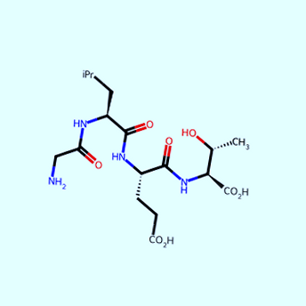 CC(C)C[C@H](NC(=O)CN)C(=O)N[C@@H](CCC(=O)O)C(=O)N[C@H](C(=O)O)[C@@H](C)O